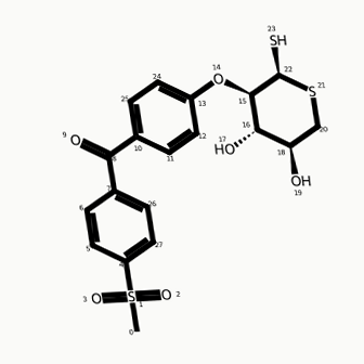 CS(=O)(=O)c1ccc(C(=O)c2ccc(O[C@@H]3[C@@H](O)[C@H](O)CS[C@@H]3S)cc2)cc1